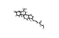 CCOC(=O)/C=C/CC1CCC2C3C[C@H](O)C4=CC(=O)CCC4(C)C3CCC12C